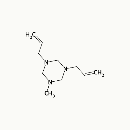 C=CCN1CN(C)CN(CC=C)C1